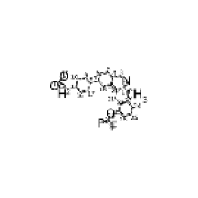 Cc1ncc2ccc(-c3ccc(C[SH](=O)=O)cc3)cc2c1Cc1ccccc1OC(F)F